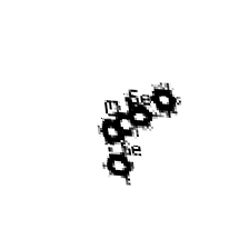 Cc1c([Se]c2ccccc2)cccc1C(=O)c1cccc([Se]c2ccccc2)c1C